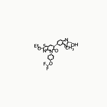 CCOc1nc2c(cc(-c3ccc4nc(CO)n(C)c4c3)c(=O)n2-c2ccc(OC(F)F)cc2)s1